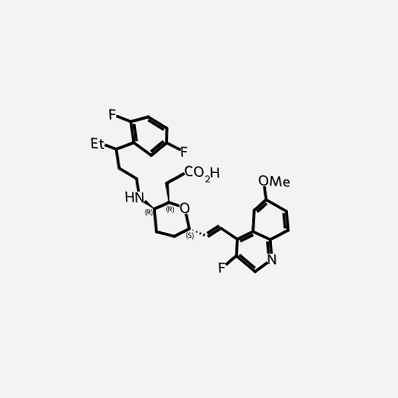 CCC(CCN[C@@H]1CC[C@@H](C=Cc2c(F)cnc3ccc(OC)cc23)O[C@@H]1CC(=O)O)c1cc(F)ccc1F